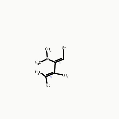 CC/C=C(/C(C)=C(\C)CC)N(C)C